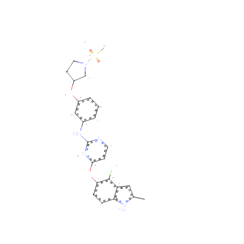 Cc1cc2c(F)c(Oc3ccnc(Nc4cccc(OC5CCN(S(C)(=O)=O)C5)c4)n3)ccc2[nH]1